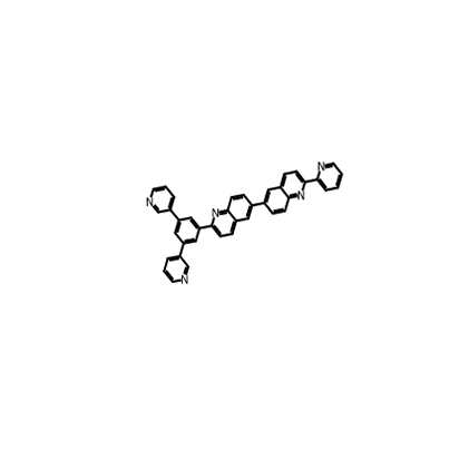 c1ccc(-c2ccc3cc(-c4ccc5nc(-c6cc(-c7cccnc7)cc(-c7cccnc7)c6)ccc5c4)ccc3n2)nc1